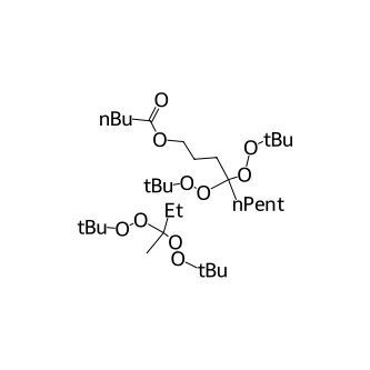 CCC(C)(OOC(C)(C)C)OOC(C)(C)C.CCCCCC(CCCOC(=O)CCCC)(OOC(C)(C)C)OOC(C)(C)C